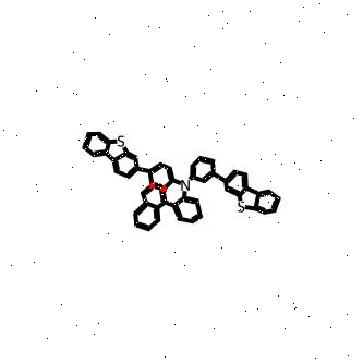 c1cc(-c2ccc3c(c2)sc2ccccc23)cc(N(c2ccc(-c3ccc4c(c3)sc3ccccc34)cc2)c2ccccc2-c2cccc3ccccc23)c1